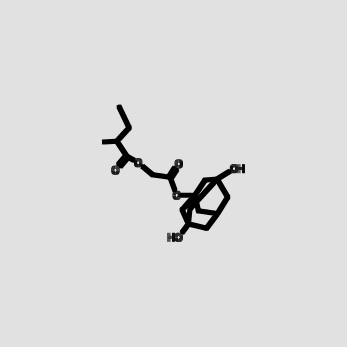 CCC(C)C(=O)OCC(=O)OC12CC3CC(O)(CC(O)(C3)C1)C2